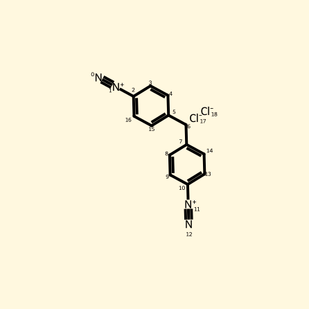 N#[N+]c1ccc(Cc2ccc([N+]#N)cc2)cc1.[Cl-].[Cl-]